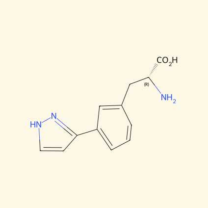 N[C@H](Cc1cccc(-c2cc[nH]n2)c1)C(=O)O